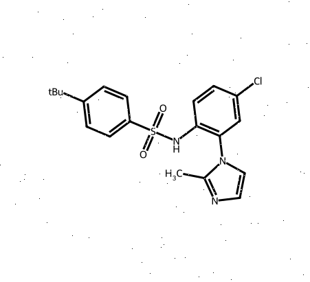 Cc1nccn1-c1cc(Cl)ccc1NS(=O)(=O)c1ccc(C(C)(C)C)cc1